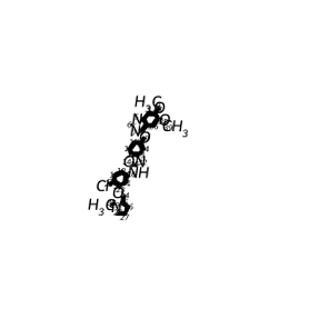 COc1cc2ncnc(Oc3ccc4oc(Nc5ccc(Cl)c(OCC6CCCN6C)c5)nc4c3)c2cc1OC